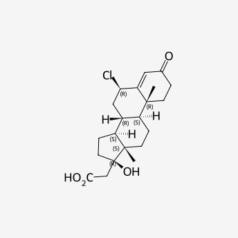 C[C@]12CCC(=O)C=C1[C@H](Cl)C[C@@H]1[C@@H]2CC[C@@]2(C)[C@H]1CC[C@@]2(O)CC(=O)O